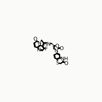 O=C1CSc2ccc(N3C[C@@H](CNCC4Cn5c(=O)ccc6ncc(F)c4c65)OC3=O)cc2N1